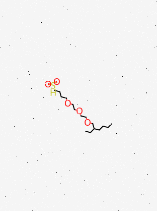 CCCCC(CC)COCCOCCOCCCC[SH](=O)=O